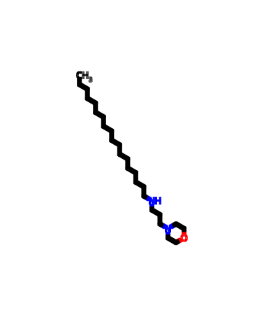 CCCCCCCCCCCCCCCCCCNCCCN1CCOCC1